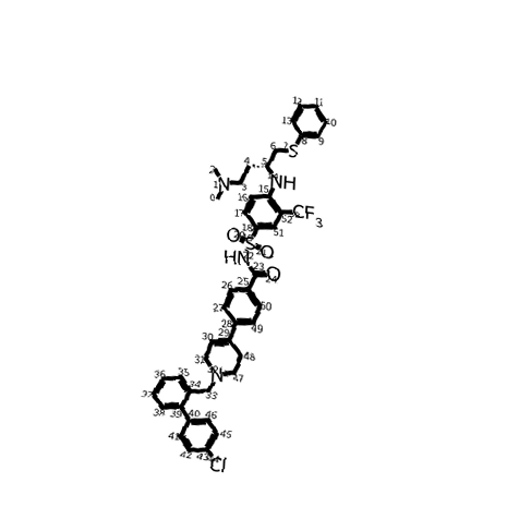 CN(C)CC[C@H](CSc1ccccc1)Nc1ccc(S(=O)(=O)NC(=O)c2ccc(C3=CCN(Cc4ccccc4-c4ccc(Cl)cc4)CC3)cc2)cc1C(F)(F)F